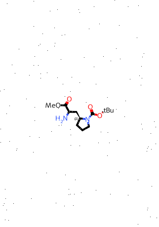 COC(=O)C(N)C[C@@H]1CCCN1C(=O)OC(C)(C)C